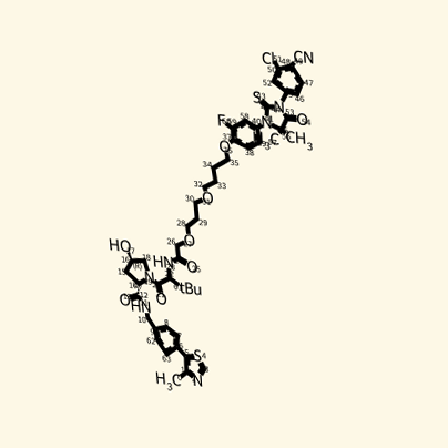 Cc1ncsc1-c1ccc(CNC(=O)[C@@H]2C[C@@H](O)CN2C(=O)C(NC(=O)COCCCOCCCCOc2ccc(N3C(=S)N(c4ccc(C#N)c(Cl)c4)C(=O)C3(C)C)cc2F)C(C)(C)C)cc1